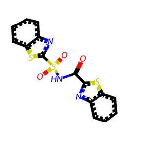 O=C(NS(=O)(=O)c1nc2ccccc2s1)c1nc2ccccc2s1